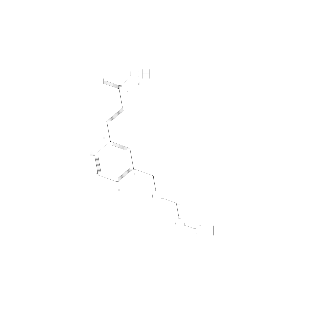 COCOCc1cccc(C=CC(=O)O)c1